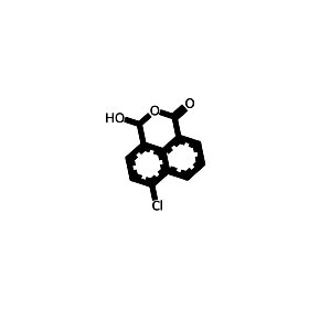 O=C1OC(O)c2ccc(Cl)c3cccc1c23